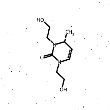 CC1C=CN(CCO)C(=O)N1CCO